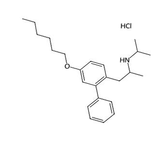 CCCCCCOc1ccc(CC(C)NC(C)C)c(-c2ccccc2)c1.Cl